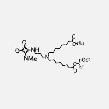 CCCCCCCCC(CC)OC(=O)CCCCCCCN(CCCCCCCC(=O)OC(C)(C)C)CCCNc1c(NC)c(=O)c1=O